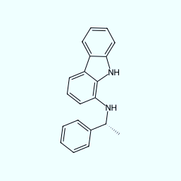 C[C@@H](Nc1cccc2c1[nH]c1ccccc12)c1ccccc1